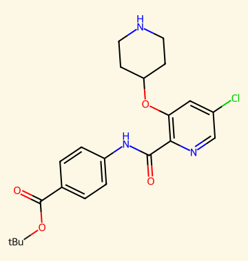 CC(C)(C)OC(=O)c1ccc(NC(=O)c2ncc(Cl)cc2OC2CCNCC2)cc1